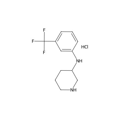 Cl.FC(F)(F)c1cccc(NC2CCCNC2)c1